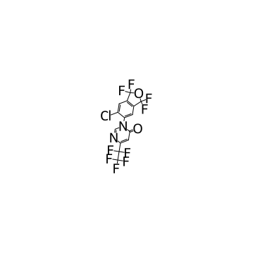 O=c1cc(C(F)(F)C(F)(F)F)ncn1-c1cc2c(cc1Cl)C(F)(F)OC2(F)F